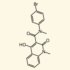 CN(C(=O)c1c(O)c2ccccc2n(C)c1=O)c1ccc(Br)cc1